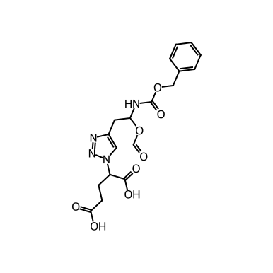 O=COC(Cc1cn(C(CCC(=O)O)C(=O)O)nn1)NC(=O)OCc1ccccc1